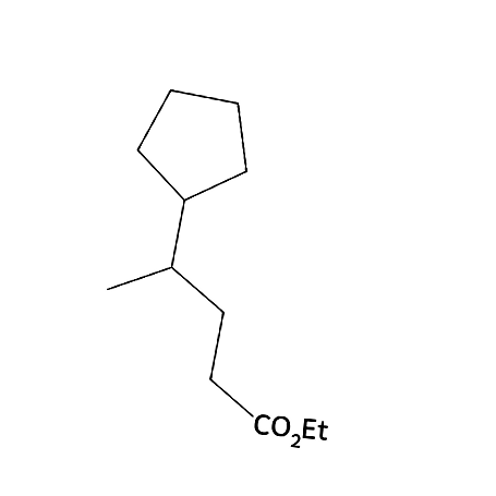 CCOC(=O)CCC(C)C1CCCC1